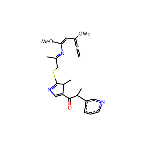 C=C=C(/C=C(\N=C(/C)CSC1=NC=C(C(=O)C(C)c2cccnc2)C1C)OC)OC